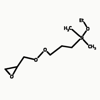 CCO[Si](C)(C)CCCOOCC1CO1